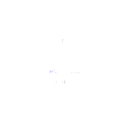 O=C[C@@H](CC1(C(F)(F)F)CC1)NC(=O)O